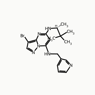 C[C@@H](Nc1cc(NCc2cccnc2)n2ncc(Br)c2n1)C(C)(C)C